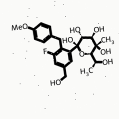 COc1ccc(Cc2c(F)cc(CO)cc2[C@@]2(O)O[C@H]([C@H](C)O)[C@@](C)(O)[C@H](O)[C@H]2O)cc1